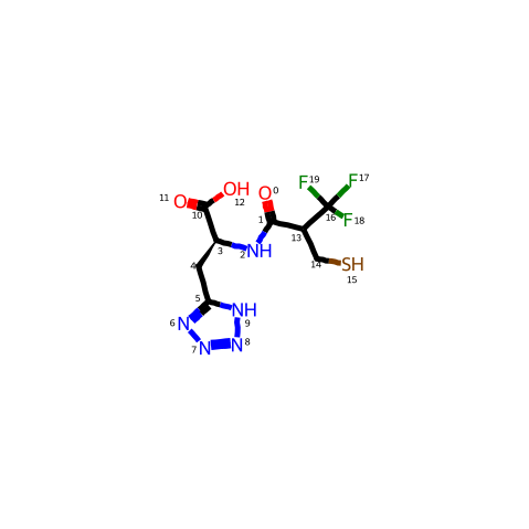 O=C(N[C@@H](Cc1nnn[nH]1)C(=O)O)C(CS)C(F)(F)F